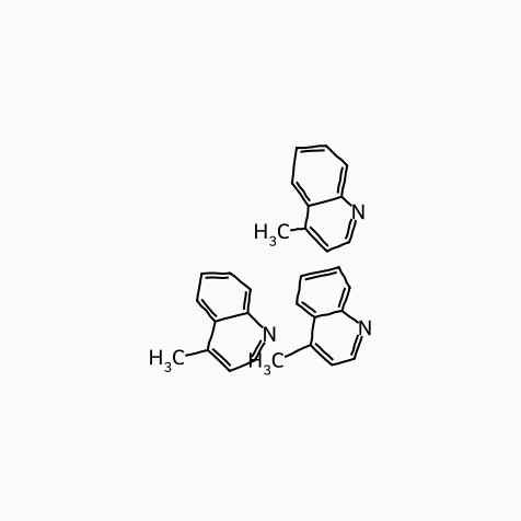 Cc1ccnc2ccccc12.Cc1ccnc2ccccc12.Cc1ccnc2ccccc12